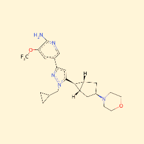 Nc1ncc(-c2cc([C@H]3[C@@H]4C[C@@H](N5CCOCC5)C[C@@H]43)n(CC3CC3)n2)cc1OC(F)(F)F